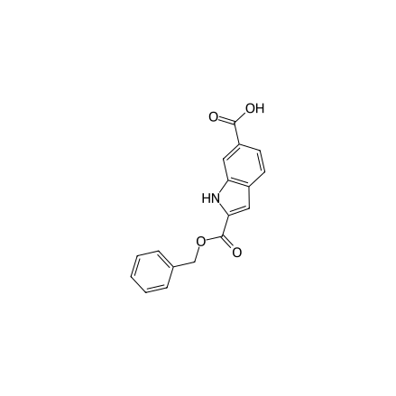 O=C(O)c1ccc2cc(C(=O)OCc3ccccc3)[nH]c2c1